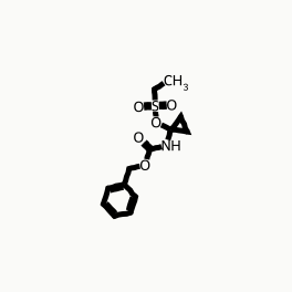 CCS(=O)(=O)OC1(NC(=O)OCc2ccccc2)CC1